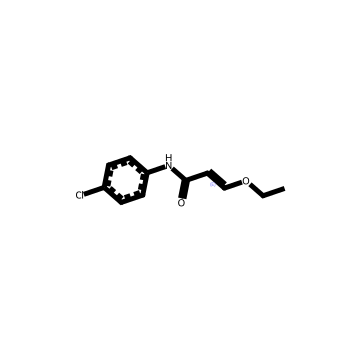 CCO/C=C/C(=O)Nc1ccc(Cl)cc1